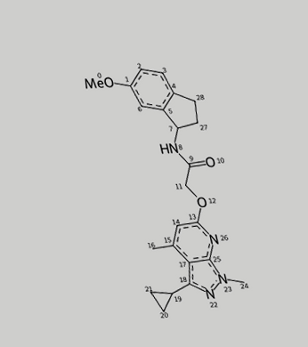 COc1ccc2c(c1)C(NC(=O)COc1cc(C)c3c(C4CC4)nn(C)c3n1)CC2